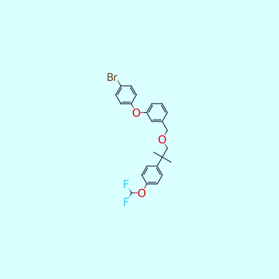 CC(C)(COCc1cccc(Oc2ccc(Br)cc2)c1)c1ccc(OC(F)F)cc1